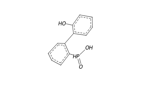 O=[PH](O)c1ccccc1-c1ccccc1O